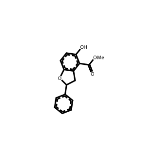 COC(=O)c1c(O)ccc2c1CC(c1ccccc1)O2